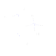 CCCCN=C(N(CCCC)CCCC)[N+](C)(C)CCCC